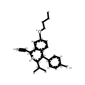 CCCCOc1ccc2c(-c3ccc(F)cc3)c(C(C)C)nc(C#N)c2c1